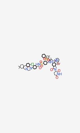 CC1(C)CCC(c2ccc(Cl)cc2)=C(CN2CCN(c3ccc(C(=O)NS(=O)(=O)c4ccc(N[C@H](CCN5CC6CC(C5)N6Cc5ccc6c(c5Br)CN(C5CCC(=O)NC5=O)C6=O)CSc5ccccc5)c(S(=O)(=O)C(F)(F)F)c4)cc3)CC2)C1